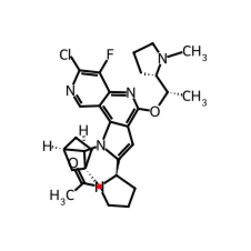 CC(=O)N1CCC[C@@H]1c1cc2c(O[C@@H](C)[C@@H]3CCCN3C)nc3c(F)c(Cl)ncc3c2n1[C@@H]1[C@@H]2CC[C@H]1C2